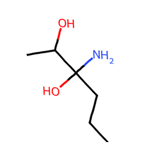 CCCC(N)(O)C(C)O